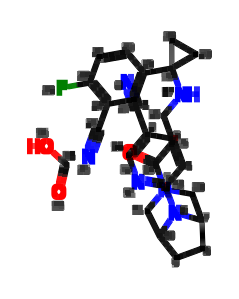 N#Cc1ccc(N2C3CCC2CN(C(=O)CCNC2(c4ccc(F)c(C#N)c4)CC2)C3)nc1.O=CO